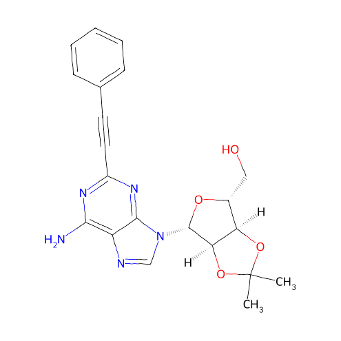 CC1(C)O[C@@H]2[C@H](O1)[C@@H](CO)O[C@H]2n1cnc2c(N)nc(C#Cc3ccccc3)nc21